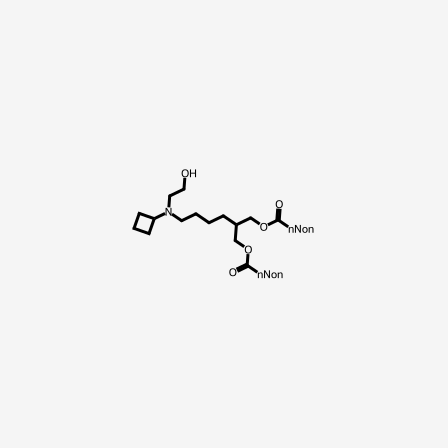 CCCCCCCCCC(=O)OCC(CCCCN(CCO)C1CCC1)COC(=O)CCCCCCCCC